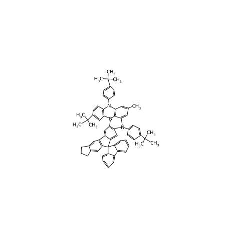 Cc1cc2c3c(c1)N(c1ccc(C(C)(C)C)cc1)c1cc4c(cc1B3c1cc(C(C)(C)C)ccc1N2c1ccc(C(C)(C)C)cc1)-c1cc2c(cc1C41c3ccccc3-c3ccccc31)CCC2